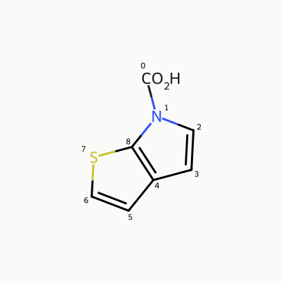 O=C(O)n1ccc2ccsc21